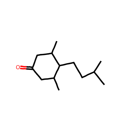 CC(C)CCC1C(C)CC(=O)CC1C